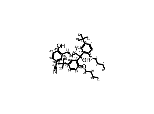 CCCCOc1ccc(C(C)(C)C)cc1C(O)(c1cc(C(C)(C)C)ccc1OCCCC)[C@@H](C)N=Cc1cc(C#N)ccc1O